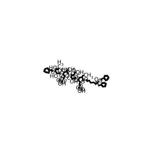 CCC1[C@@H](OCCCCCN(Cc2ccccc2)C(=O)OCc2ccccc2)OC(COS(=O)(=O)O)[C@@H](O[C@@H]2OC(C(=O)O)[C@@H](O[C@H]3OC(COS(=O)(=O)O)[C@@H](O[C@@H]4OC(C)[C@@H](O)[C@@H](OCc5ccccc5)C4O)[C@H](C)C3NC)[C@H](C)C2O)[C@@H]1C